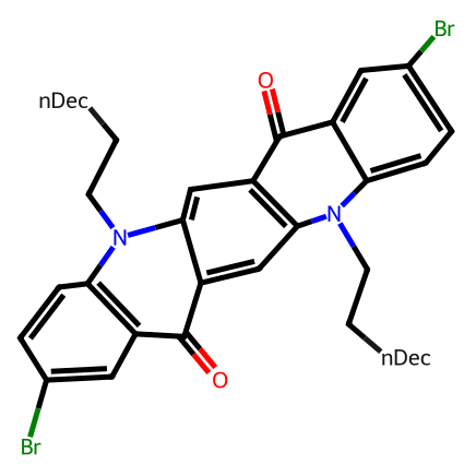 CCCCCCCCCCCCn1c2ccc(Br)cc2c(=O)c2cc3c(cc21)c(=O)c1cc(Br)ccc1n3CCCCCCCCCCCC